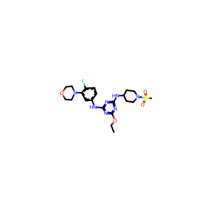 CCOc1nc(Nc2ccc(F)c(N3CCOCC3)c2)nc(NC2CCN(S(C)(=O)=O)CC2)n1